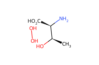 C[C@@H](O)[C@H](N)C(=O)O.OO